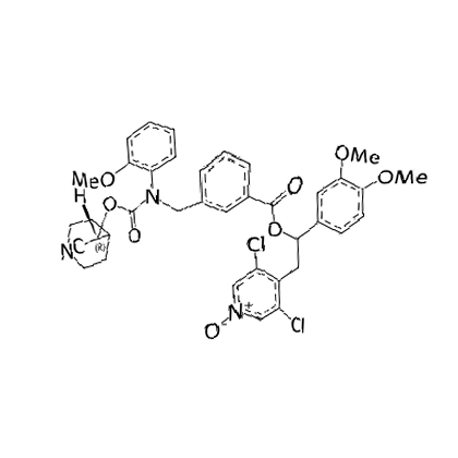 COc1ccc(C(Cc2c(Cl)c[n+]([O-])cc2Cl)OC(=O)c2cccc(CN(C(=O)O[C@H]3CN4CCC3CC4)c3ccccc3OC)c2)cc1OC